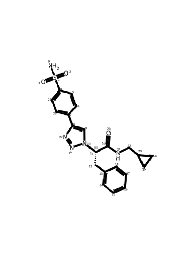 NS(=O)(=O)c1ccc(-c2cn([C@@H](Cc3ccccc3)C(=O)NCC3CC3)nn2)cc1